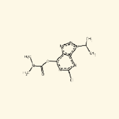 CC(C)n1nnc2c(OC(=O)N(C)C)nc(Cl)nc21